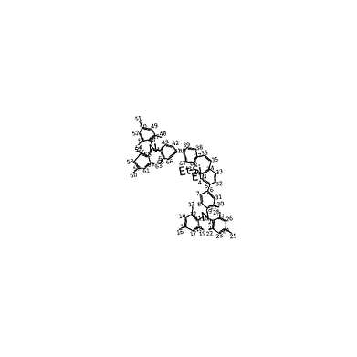 CC[Si]1(CC)c2cc(-c3ccc(N(c4c(C)cc(C)cc4C)c4c(C)cc(C)cc4C)c(C)c3)ccc2C=Cc2ccc(-c3ccc(N(c4c(C)cc(C)cc4C)c4c(C)cc(C)cc4C)c(C)c3)cc21